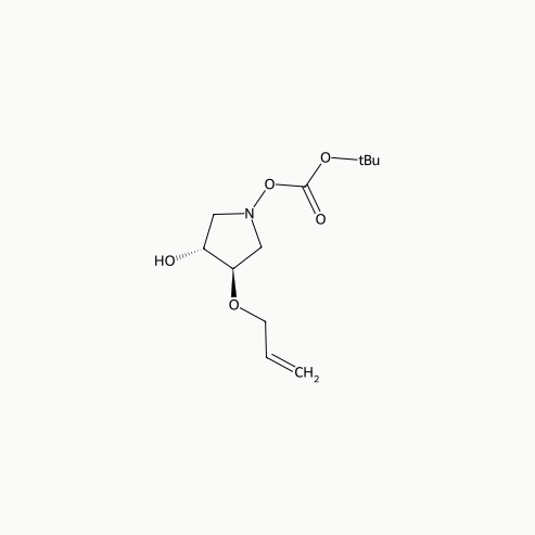 C=CCO[C@@H]1CN(OC(=O)OC(C)(C)C)C[C@H]1O